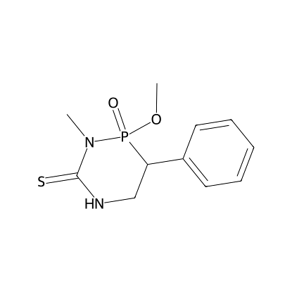 COP1(=O)C(c2ccccc2)CNC(=S)N1C